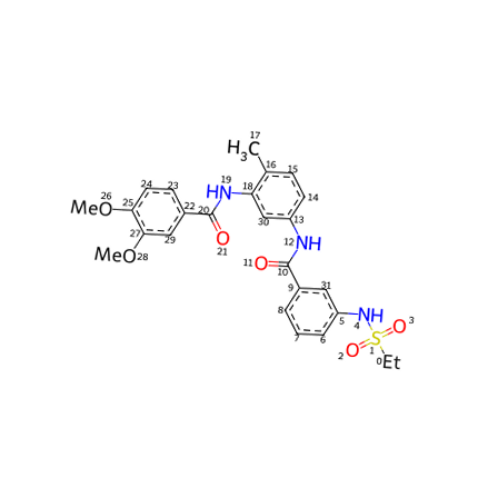 CCS(=O)(=O)Nc1cccc(C(=O)Nc2ccc(C)c(NC(=O)c3ccc(OC)c(OC)c3)c2)c1